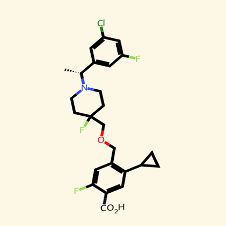 C[C@H](c1cc(F)cc(Cl)c1)N1CCC(F)(COCc2cc(F)c(C(=O)O)cc2C2CC2)CC1